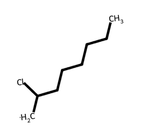 [CH2]C(Cl)CCCCCC